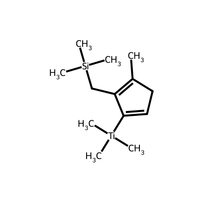 CC1=C(C[Si](C)(C)C)[C]([Ti]([CH3])([CH3])[CH3])=CC1